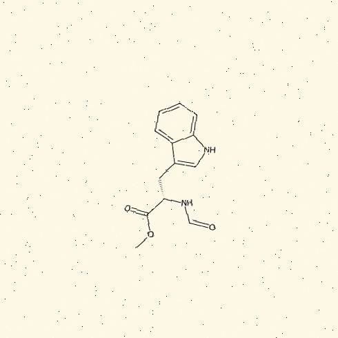 COC(=O)[C@H](Cc1c[nH]c2ccccc12)NC=O